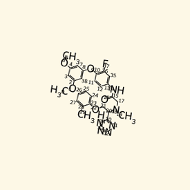 COc1cc(OC)cc(Oc2ccc(NC(=O)CN(C)C(COc3ccccc3C)c3nnn[nH]3)cc2F)c1